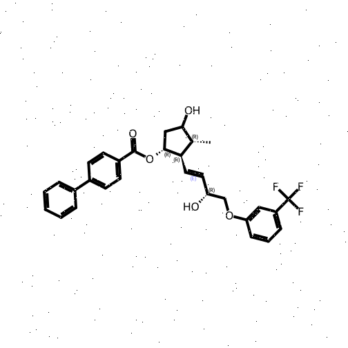 C[C@H]1C(O)C[C@@H](OC(=O)c2ccc(-c3ccccc3)cc2)[C@@H]1/C=C/[C@@H](O)COc1cccc(C(F)(F)F)c1